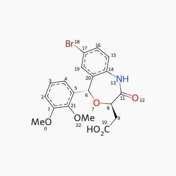 COc1cccc([C@H]2O[C@H](CC(=O)O)C(=O)Nc3ccc(Br)cc32)c1OC